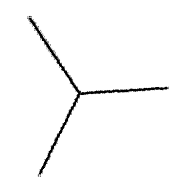 C#CC#CC#CC#CC#CC#CC#CC#CC#CC#CC#CC#CC#CC#CC#CC#CC#CC#CC#CC#CP(C#CC#CC#CC#CC#CC#CC#CC#CC#CC#CC#CC#CC#CC#CC#CC#CC#CC#CC#CC#CC)C#CC#CC#CC#CC#CC#CC#CC#CC#CC#CC#CC#CC#CC#CC#CC#CC#CC#CC#CC#CF